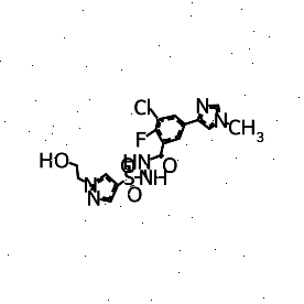 Cn1cnc(-c2cc(Cl)c(F)c(C(=O)NNS(=O)(=O)c3cnn(CCO)c3)c2)c1